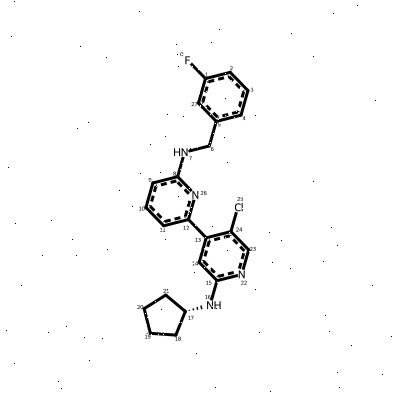 Fc1cccc(CNc2cccc(-c3cc(N[C@@H]4C[CH]CC4)ncc3Cl)n2)c1